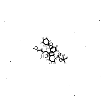 COCCCC[C@@](O)(c1cccc2c1OC1(CCCCC1)O2)C1CCCN(C(=O)OC(C)(C)C)C1